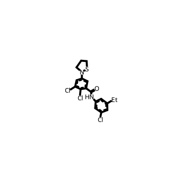 CCc1cc(Cl)cc(NC(=O)c2cc(N3CCCS3)cc(Cl)c2Cl)c1